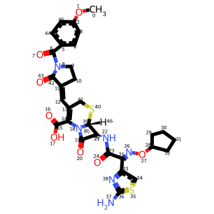 COc1ccc(C(=O)N2CCC(=CC3=C(C(=O)O)N4C(=O)[C@@H](NC(=O)C(=NOC5CCCC5)c5csc(N)n5)[C@H]4SC3)C2=O)cc1